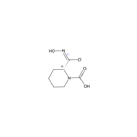 O=C(O)N1CCCC[C@@H]1/C(Cl)=N\O